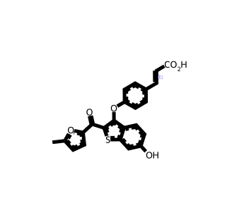 Cc1ccc(C(=O)c2sc3cc(O)ccc3c2Oc2ccc(/C=C/C(=O)O)cc2)o1